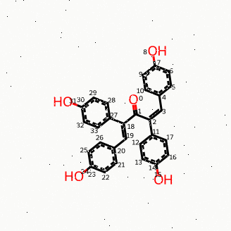 O=C(C(=Cc1ccc(O)cc1)c1ccc(O)cc1)C(=Cc1ccc(O)cc1)c1ccc(O)cc1